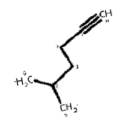 C#CCCC([CH2])[CH2]